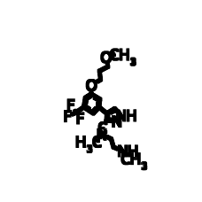 CNCCN(C)Cc1n[nH]cc1-c1cc(OCCCOC)cc(C(F)(F)F)c1